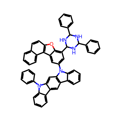 c1ccc(C2NC(c3ccccc3)NC(c3cc(-n4c5ccccc5c5cc6c7ccccc7n(-c7ccccc7)c6cc54)cc4c3oc3ccc5ccccc5c34)N2)cc1